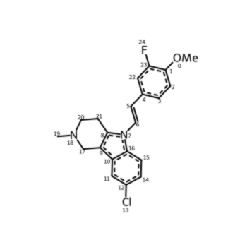 COc1ccc(/C=C/n2c3c(c4cc(Cl)ccc42)CN(C)CC3)cc1F